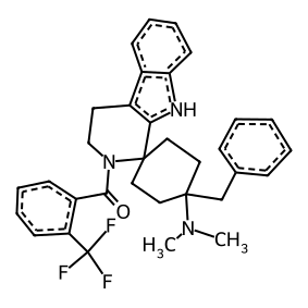 CN(C)C1(Cc2ccccc2)CCC2(CC1)c1[nH]c3ccccc3c1CCN2C(=O)c1ccccc1C(F)(F)F